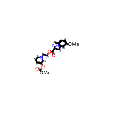 COC(=O)OC1=CCCN(CCOC(=O)[C@@H](N)Cc2cc(OC)ccc2C)C1